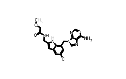 COCC(=O)NCc1cc2cc(Cl)cc(Cn3cnc4c(N)ncnc43)c2[nH]1